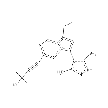 Bc1n[nH]c(B)c1-c1cn(CC)c2cnc(C#CC(C)(C)O)cc12